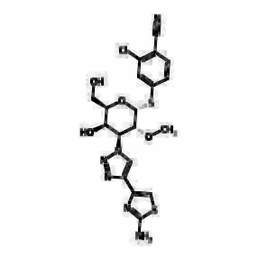 CO[C@@H]1[C@@H](n2cc(-c3csc(N)n3)nn2)[C@@H](O)[C@@H](CO)O[C@@H]1Sc1ccc(C#N)c(Cl)c1